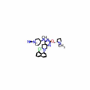 CN(c1nc(OC[C@@H]2CCCN2C)nc2c1CCN(c1cccc3cccc(Cl)c13)C2)C1CCCN(C#N)CC1